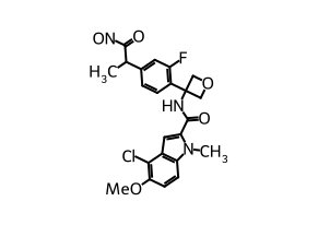 COc1ccc2c(cc(C(=O)NC3(c4ccc(C(C)C(=O)N=O)cc4F)COC3)n2C)c1Cl